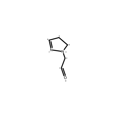 O=CCN1CCC=N1